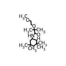 COCCOC(C)(C)C(O)NC1CC(C)(C)CC(C)(C)C1